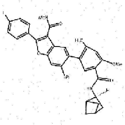 CCCc1cc2oc(-c3ccc(F)cc3)c(C(=O)NC)c2cc1-c1cc(C(=O)N[C@H]2CC3CC2C3)c(OC)cc1C